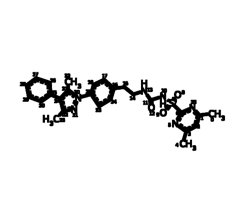 Cc1cc(C)nc(S(=O)(=O)NC(=O)NCCc2ccc(-n3nc(C)c(-c4ccccc4)c3C)cc2)n1